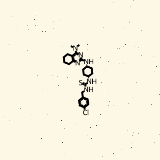 CN(C)c1nc(N[C@H]2CC[C@@H](NC(=S)NCc3ccc(Cl)cc3)CC2)nc2c1CCCC2